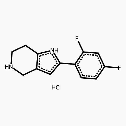 Cl.Fc1ccc(-c2cc3c([nH]2)CCNC3)c(F)c1